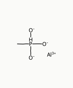 C[PH]([O-])([O-])[O-].[Al+3]